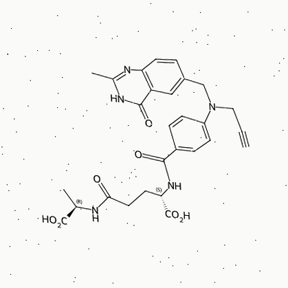 C#CCN(Cc1ccc2nc(C)[nH]c(=O)c2c1)c1ccc(C(=O)N[C@@H](CCC(=O)N[C@H](C)C(=O)O)C(=O)O)cc1